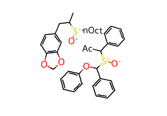 CC(=O)C(c1ccccc1)[S+]([O-])C(Oc1ccccc1)c1ccccc1.CCCCCCCC[S+]([O-])C(C)Cc1ccc2c(c1)OCO2